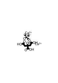 O=C(O)CC(O)(CC(=O)O)C(=O)O.[Ca+2].[Ca+2].[O-][Si]([O-])([O-])[O-]